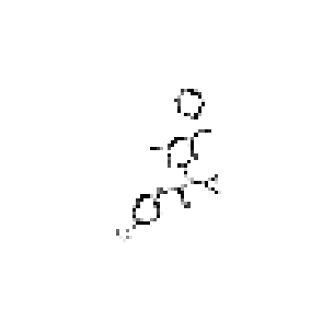 Cc1cc(N(C)c2cccnc2)nc(N(C(=N)Nc2ccc(C(F)(F)F)cc2)C2CC2)n1